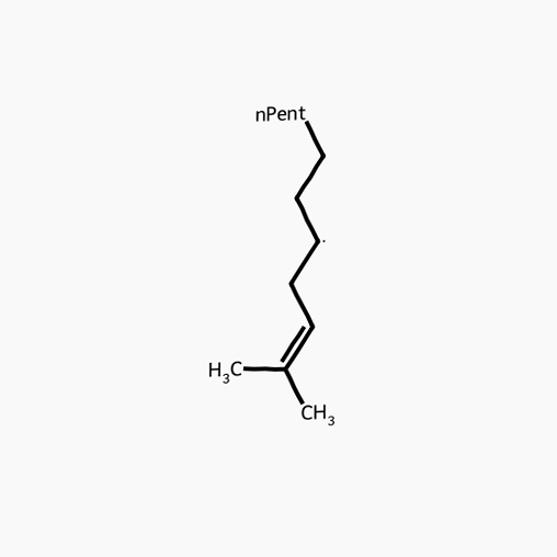 CCCCCCC[CH]CC=C(C)C